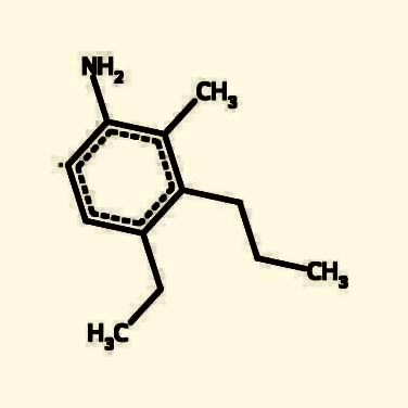 CCCc1c(CC)c[c]c(N)c1C